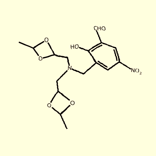 CC1OC(CN(Cc2cc([N+](=O)[O-])cc(C=O)c2O)CC2OC(C)O2)O1